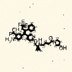 C=C(F)c1cc(/C(=C(\CC(F)(F)F)c2ccccc2)c2ccc(OCC3(NC/C=C/C(=O)N4CCC(O)C4)CC3)nc2)ccc1N